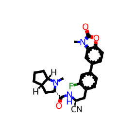 CN1[C@H](C(=O)N[C@H](C#N)Cc2ccc(-c3ccc4oc(=O)n(C)c4c3)cc2F)C[C@@H]2CCC[C@@H]21